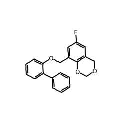 Fc1cc2c(c(COc3ccccc3-c3ccccc3)c1)OCOC2